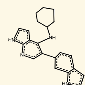 c1cc2ccc(-c3cnc4[nH]ccc4c3NC3CCCCC3)cc2[nH]1